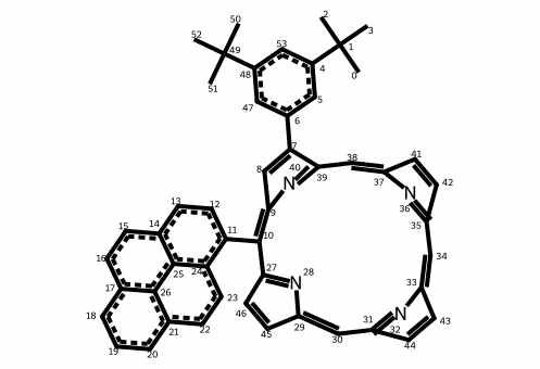 CC(C)(C)c1cc(C2=CC3=C(c4ccc5ccc6cccc7ccc4c5c67)C4=NC(=CC5=NC(=CC6=NC(=CC2=N3)C=C6)C=C5)C=C4)cc(C(C)(C)C)c1